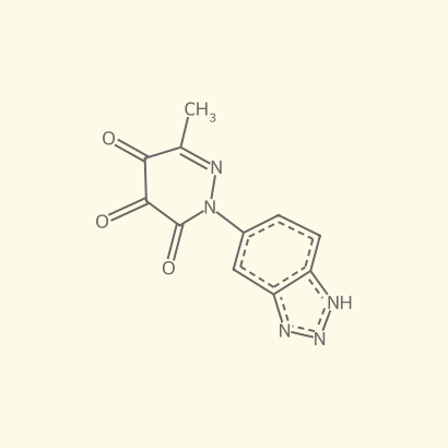 CC1=NN(c2ccc3[nH]nnc3c2)C(=O)C(=O)C1=O